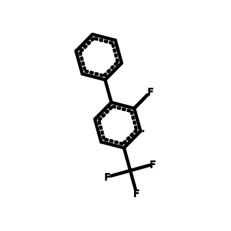 Fc1[c]c(C(F)(F)F)ccc1-c1ccccc1